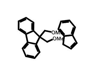 C1=Cc2ccccc2C1.COCC1(COC)c2ccccc2-c2ccccc21